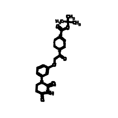 CC(C)(C)OC(=O)N1CCN(C(=O)COc2cccc(N3CCC(=O)NC3=O)c2)CC1